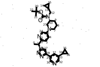 CC(c1ccc(N2CCC[C@@H](N(CC3CC3)C(=O)OC(C)(C)C)C2)cn1)n1cc(-c2cncc(C3CC3)c2)nn1